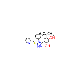 CC(C)c1cc(-c2nnc(SCc3ccccn3)n2-c2ccccc2)c(O)cc1O